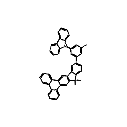 Cc1cc(-c2ccc3c(c2)-c2cc4c5ccccc5c5ccccc5c4cc2C3(C)C)cc(-n2c3ccccc3c3ccccc32)c1